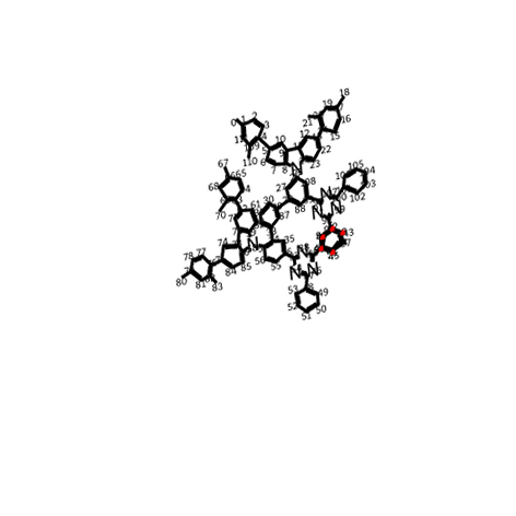 Cc1ccc(-c2ccc3c(c2)c2cc(-c4ccc(C)cc4C)ccc2n3-c2cc(-c3cccc(-c4cc(-c5nc(-c6ccccc6)nc(-c6ccccc6)n5)ccc4-n4c5ccc(-c6ccc(C)cc6C)cc5c5cc(-c6ccc(C)cc6C)ccc54)c3)cc(-c3nc(-c4ccccc4)nc(-c4ccccc4)n3)c2)c(C)c1